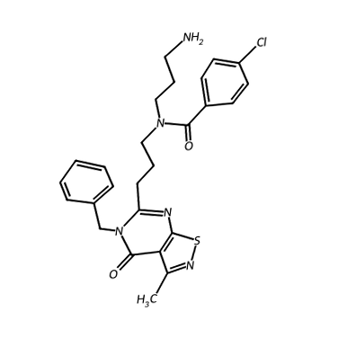 Cc1nsc2nc(CCCN(CCCN)C(=O)c3ccc(Cl)cc3)n(Cc3ccccc3)c(=O)c12